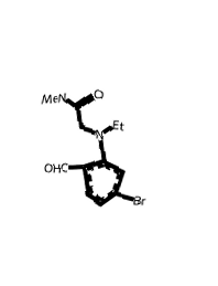 CCN(CC(=O)NC)c1cc(Br)ccc1C=O